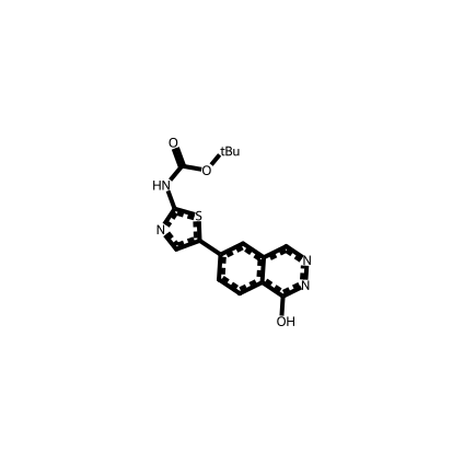 CC(C)(C)OC(=O)Nc1ncc(-c2ccc3c(O)nncc3c2)s1